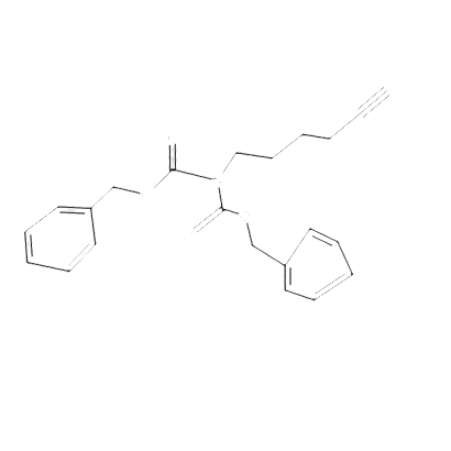 C#CCCCCN(C(=O)OCc1ccccc1)C(=O)OCc1ccccc1